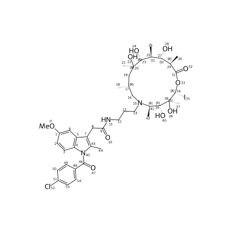 COc1ccc2c(c1)c(CC(=O)NCCCN1C[C@H](C)C[C@@](C)(O)[C@H](O)[C@@H](C)[C@H](O)[C@@H](C)C(=O)O[C@H](I)[C@@](C)(O)[C@H](O)[C@H]1C)c(C)n2C(=O)c1ccc(Cl)cc1